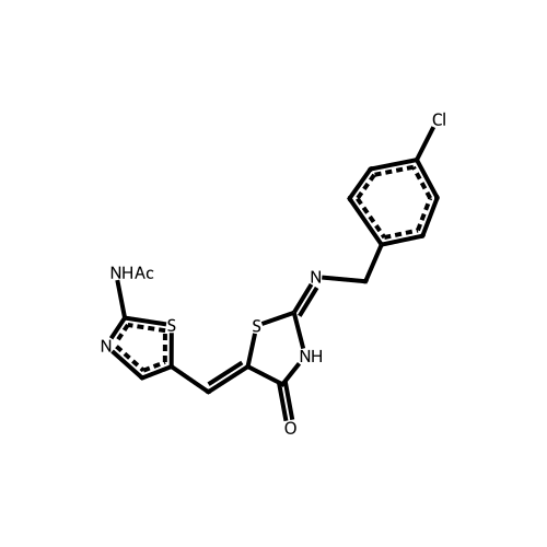 CC(=O)Nc1ncc(C=C2SC(=NCc3ccc(Cl)cc3)NC2=O)s1